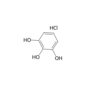 Cl.Oc1cccc(O)c1O